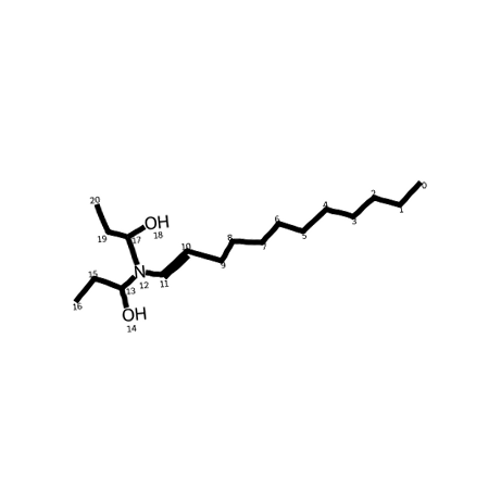 CCCCCCCCCCC=CN(C(O)CC)C(O)CC